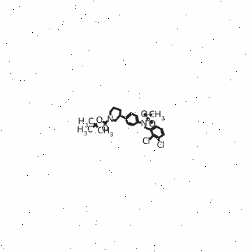 CC(C)(C)OC(=O)N1CCCC(c2ccc(N(Cc3cccc(Cl)c3Cl)S(C)(=O)=O)cc2)C1